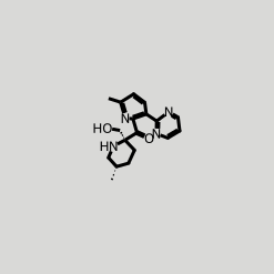 Cc1ccc(-c2ncccn2)c(C(=O)[C@@]2(CO)CC[C@H](C)CN2)n1